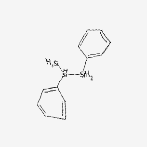 [SiH3][SiH]([SiH2]c1ccccc1)c1ccccc1